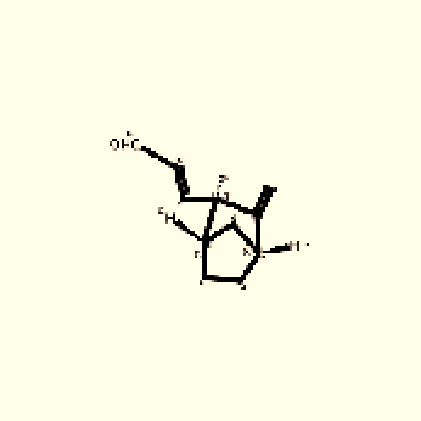 C=C1[C@@H]2CC[C@@H](C2)[C@@]1(C)C=CC=O